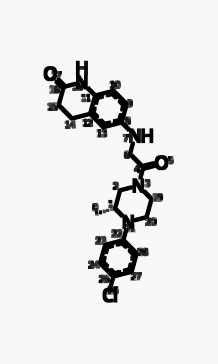 C[C@@H]1CN(C(=O)CNc2ccc3c(c2)CCC(=O)N3)CCN1c1ccc(Cl)cc1